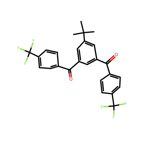 CC(C)(C)c1cc(C(=O)c2ccc(C(F)(F)F)cc2)cc(C(=O)c2ccc(C(F)(F)F)cc2)c1